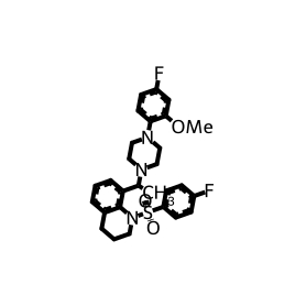 COc1cc(F)ccc1N1CCN(C(C)c2cccc3c2N(S(=O)(=O)c2ccc(F)cc2)CCC3)CC1